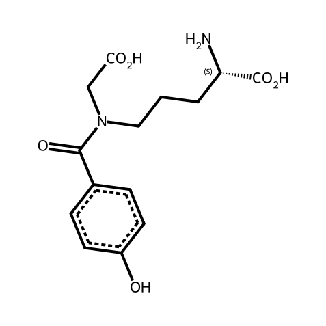 N[C@@H](CCCN(CC(=O)O)C(=O)c1ccc(O)cc1)C(=O)O